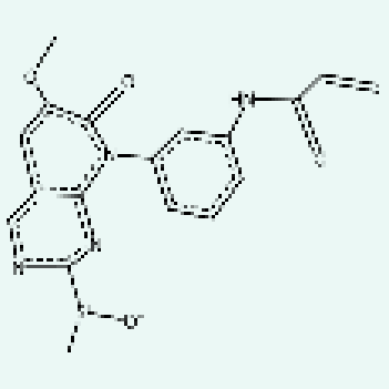 C=CC(=O)Nc1cccc(-n2c(=O)c(OC)cc3cnc([S+](C)[O-])nc32)c1